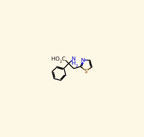 NC(Cc1nccs1)(C(=O)O)c1ccccc1